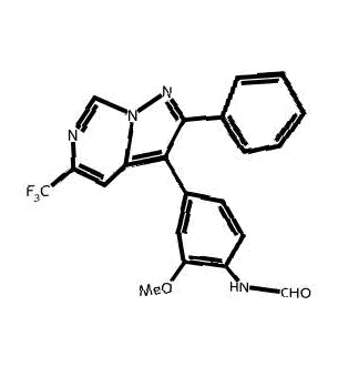 COc1cc(-c2c(-c3ccccc3)nn3cnc(C(F)(F)F)cc23)ccc1NC=O